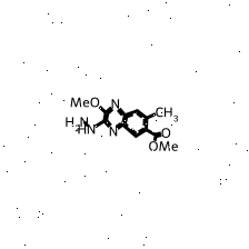 COC(=O)c1cc2nc(NN)c(OC)nc2cc1C